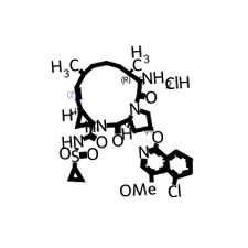 COc1cnc(O[C@@H]2C[C@H]3C(=O)N[C@]4(C(=O)NS(=O)(=O)C5CC5)C[C@H]4/C=C\C(C)CCC[C@@H](C)[C@H](N)C(=O)N3C2)c2cccc(Cl)c12.Cl